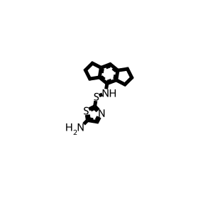 Nc1cnc(SNc2c3c(cc4c2CCC4)CCC3)s1